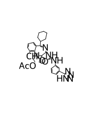 CC(=O)OCCN1C(=O)[C@H](NC(=O)Nc2cccc(-c3nnn[nH]3)c2)N=C(C2CCCCC2)c2cccc(C)c21